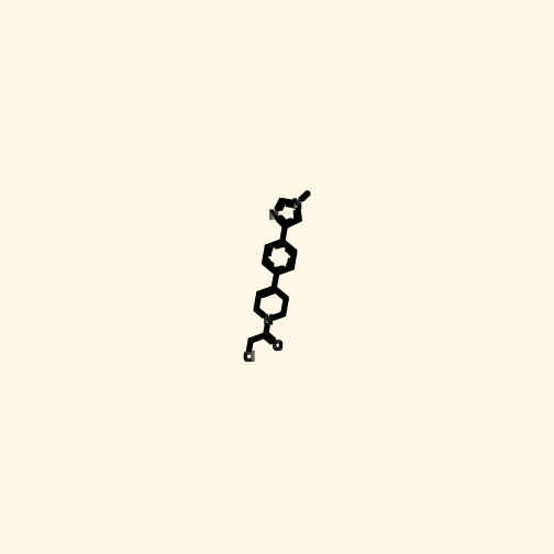 Cn1cnc(-c2ccc(C3=CCN(C(=O)CCl)CC3)cc2)c1